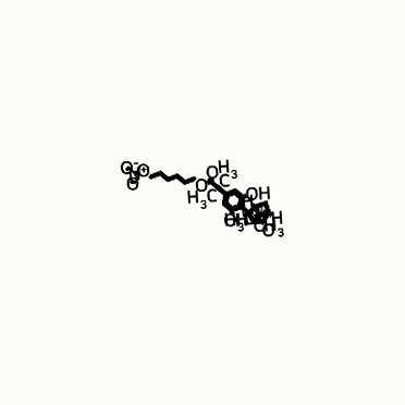 CC(C)(C(=O)OCCCCCCO[N+](=O)[O-])c1cc(O)c([C@@H]2CC(=O)[C@@H]3C[C@@H]2C3(C)C)c(O)c1